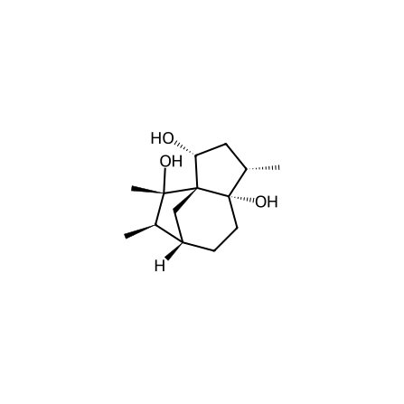 C[C@@H]1[C@H]2CC[C@]3(O)[C@@H](C)C[C@@H](O)[C@@]3(C2)[C@@]1(C)O